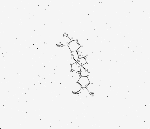 COC1=CC([C@H]2OC[C@H]3[C@@H]2CO[C@@H]3C2C=CC(O)=C(OC)C2)CC=C1O